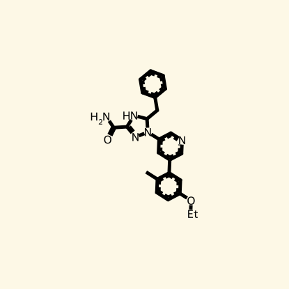 CCOc1ccc(C)c(-c2cncc(N3N=C(C(N)=O)NC3Cc3ccccc3)c2)c1